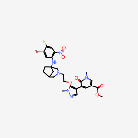 COC(=O)c1cc(-c2cnn(C)c2OCCN2CC3CCC(Nc4cc(Br)c(F)cc4[N+](=O)[O-])(C3)C2)c(=O)n(C)c1